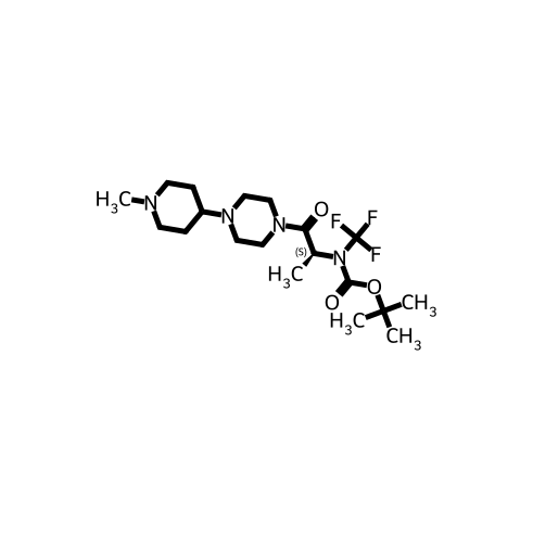 C[C@@H](C(=O)N1CCN(C2CCN(C)CC2)CC1)N(C(=O)OC(C)(C)C)C(F)(F)F